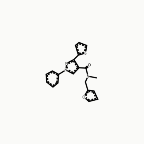 CN(Cc1ccco1)C(=O)c1cn(-c2ccccc2)nc1-c1cccs1